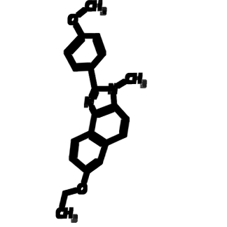 CCOc1ccc2c(ccc3c2nc(-c2ccc(OC)cc2)n3C)c1